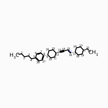 CCCCCc1ccc([C@H]2CC[C@H](C#C/C=C/[C@H]3CC[C@H](CC)CC3)CC2)cc1